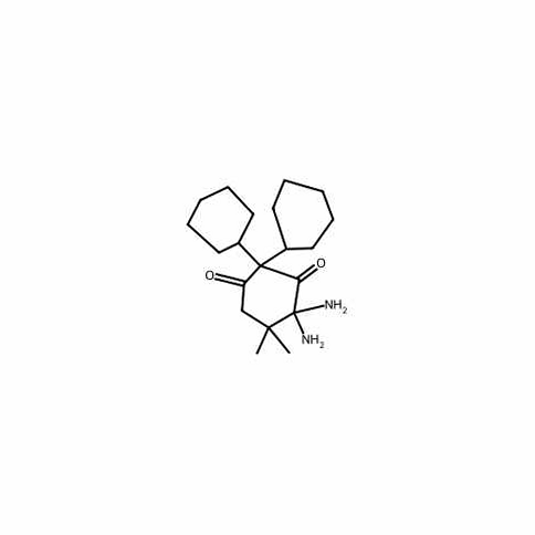 CC1(C)CC(=O)C(C2CCCCC2)(C2CCCCC2)C(=O)C1(N)N